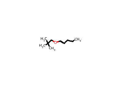 [CH2]CCCCOCC(C)(C)C